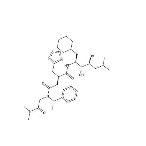 CC(C)C[C@H](O)[C@H](O)[C@H](CC1CCCCC1)NC(=O)[C@@H](CC(=O)N(CC(=O)N(C)C)[C@@H](C)c1ccccc1)Cc1nccs1